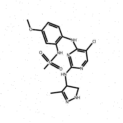 COc1ccc(Nc2nc(NC3CNN=C3C)ncc2Cl)c(NS(C)(=O)=O)c1